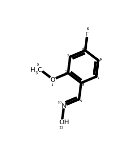 COc1cc(F)ccc1C=NO